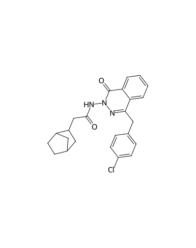 O=C(CC1CC2CCC1C2)Nn1nc(Cc2ccc(Cl)cc2)c2ccccc2c1=O